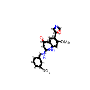 COc1cc2[nH]c(NCc3cccc([N+](=O)[O-])c3)cc(=O)c2cc1-c1cnco1